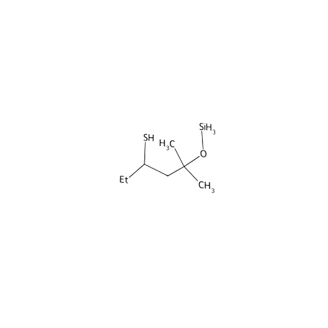 CCC(S)CC(C)(C)O[SiH3]